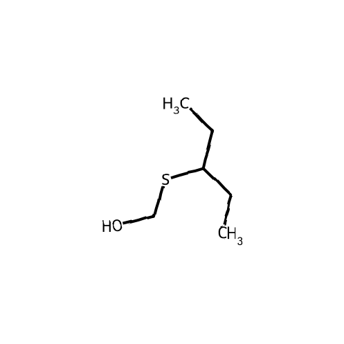 CCC(CC)SCO